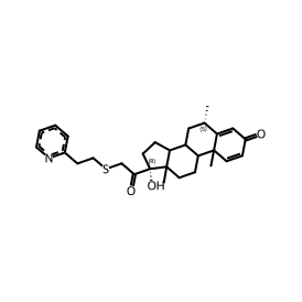 C[C@H]1CC2C(CCC3(C)C2CC[C@]3(O)C(=O)CSCCc2ccccn2)C2(C)C=CC(=O)C=C12